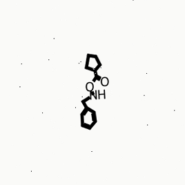 O=C(ONCc1ccccc1)C1CCCC1